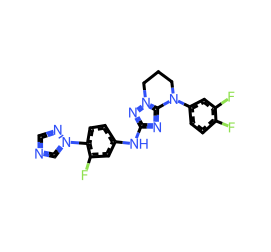 Fc1ccc(N2CCCn3nc(Nc4ccc(-n5cncn5)c(F)c4)nc32)cc1F